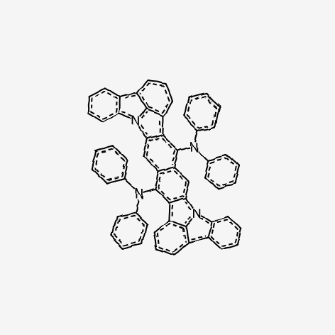 c1ccc(N(c2ccccc2)c2c3cc4c(c(N(c5ccccc5)c5ccccc5)c3cc3c2c2cccc5c6ccccc6n3c52)c2cccc3c5ccccc5n4c32)cc1